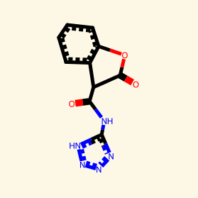 O=C(Nc1nnn[nH]1)C1C(=O)Oc2ccccc21